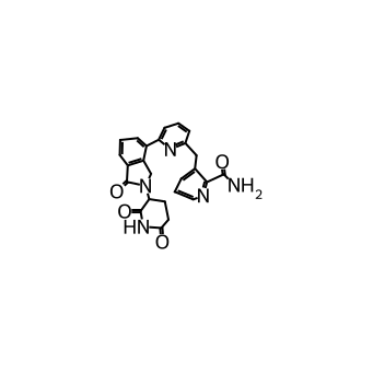 NC(=O)c1ncccc1Cc1cccc(-c2cccc3c2CN(C2CCC(=O)NC2=O)C3=O)n1